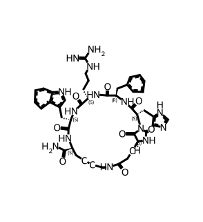 N=C(N)NCCC[C@@H]1NC(=O)[C@@H](Cc2ccccc2)NC(=O)[C@H](Cc2cnc[nH]2)N2C(=O)N[C@@H](CCC(=O)NCCCC[C@@H](C(N)=O)NC(=O)[C@H](Cc3c[nH]c4ccccc34)NC1=O)C2=O